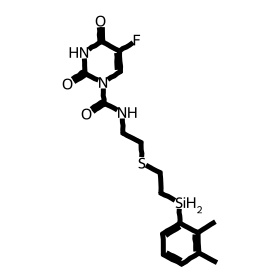 Cc1cccc([SiH2]CCSCCNC(=O)n2cc(F)c(=O)[nH]c2=O)c1C